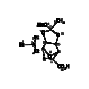 CCN(CC)CC.COC1(C)OC2C3CC(C(=O)O)C(O3)C2O1